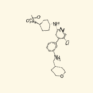 CS(=O)(=O)N[C@H]1CC[C@H](Nc2cc(-c3cccc(NCC4CCOCC4)c3)c(Cl)cn2)CC1